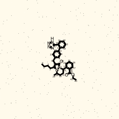 CCCCc1c(Cc2ccc(-c3ccccc3-c3nnn[nH]3)cc2)c(=O)n2n1C(C)CCC2c1ccccc1C(=O)OCC